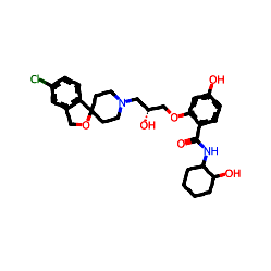 O=C(NC1CCCCC1O)c1ccc(O)cc1OC[C@H](O)CN1CCC2(CC1)OCc1cc(Cl)ccc12